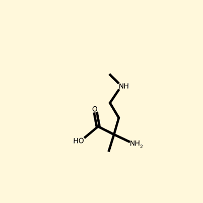 CNCCC(C)(N)C(=O)O